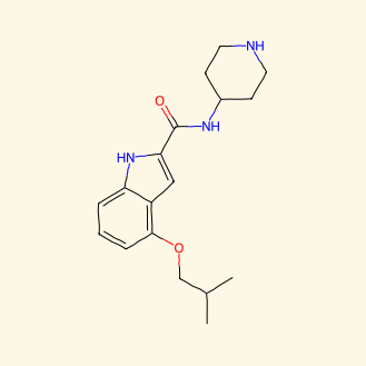 CC(C)COc1cccc2[nH]c(C(=O)NC3CCNCC3)cc12